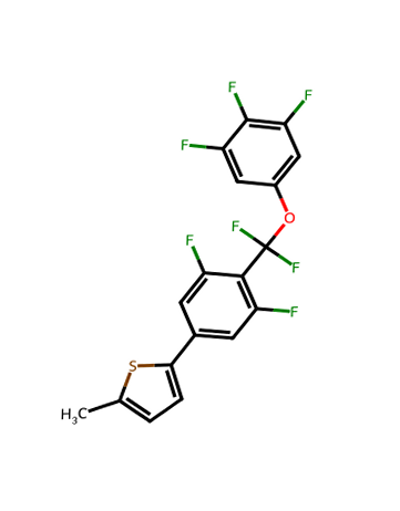 Cc1ccc(-c2cc(F)c(C(F)(F)Oc3cc(F)c(F)c(F)c3)c(F)c2)s1